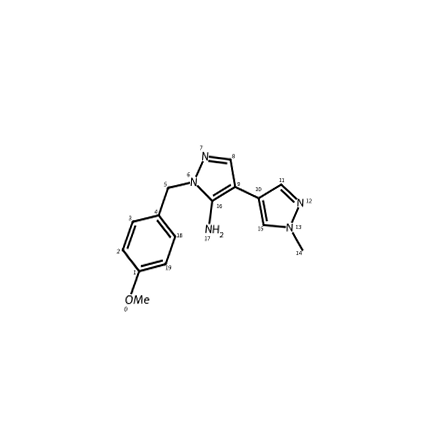 COc1ccc(Cn2ncc(-c3cnn(C)c3)c2N)cc1